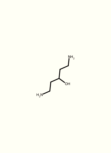 NCCC(O)CCN